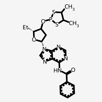 CC[C@H]1O[C@@H](n2cnc3c(NC(=O)c4ccccc4)ncnc32)CC1OP1SC(C)C(C)S1